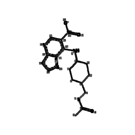 CC(=O)SCC1CCC(Nc2c([N+](=O)[O-])cnc3ccsc23)CC1